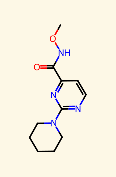 CONC(=O)c1ccnc(N2CCCCC2)n1